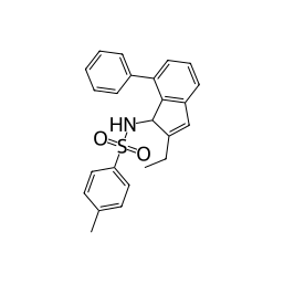 CCC1=Cc2cccc(-c3ccccc3)c2C1NS(=O)(=O)c1ccc(C)cc1